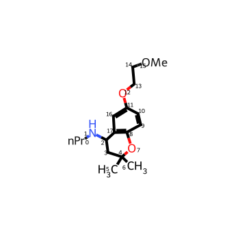 CCCNC1CC(C)(C)Oc2ccc(OCCOC)cc21